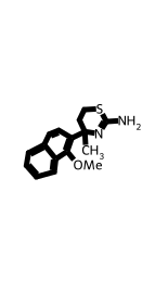 COc1c(C2(C)CCSC(N)=N2)ccc2ccccc12